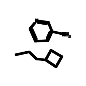 CCCC1CCC1.Nc1cccnc1